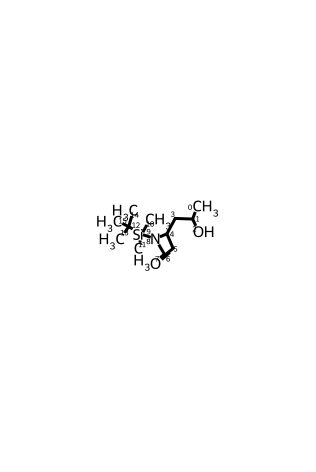 CC(O)CC1CC(=O)N1[Si](C)(C)C(C)(C)C